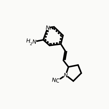 N#CN1CCCC1/C=C/c1ccnc(N)c1